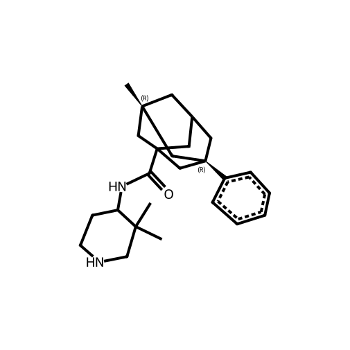 CC1(C)CNCCC1NC(=O)C12CC3C[C@@](C)(C1)C[C@](c1ccccc1)(C3)C2